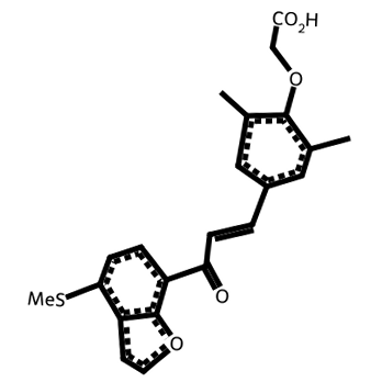 CSc1ccc(C(=O)C=Cc2cc(C)c(OCC(=O)O)c(C)c2)c2occc12